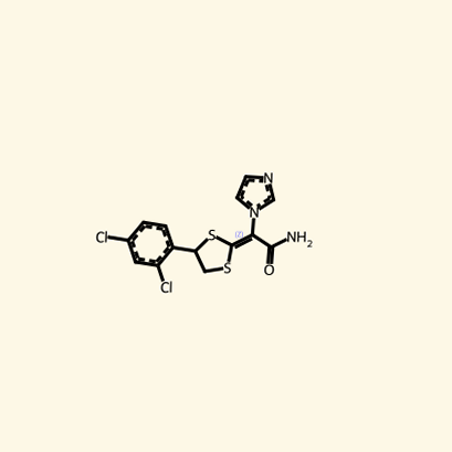 NC(=O)/C(=C1\SCC(c2ccc(Cl)cc2Cl)S1)n1ccnc1